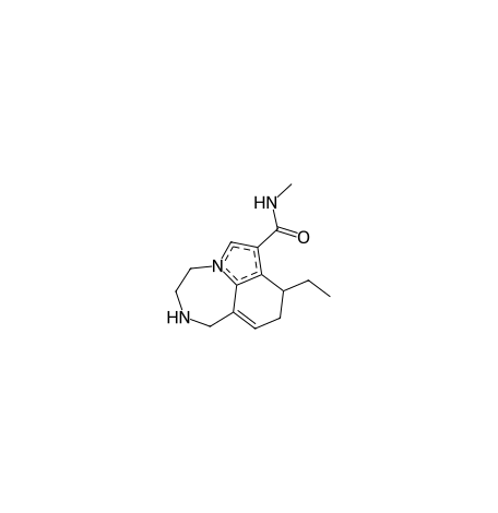 CCC1CC=C2CNCCn3cc(C(=O)NC)c1c32